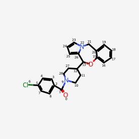 O=C(c1ccc(Cl)cc1)N1CCC(C2Oc3ccccc3Cn3cccc32)CC1